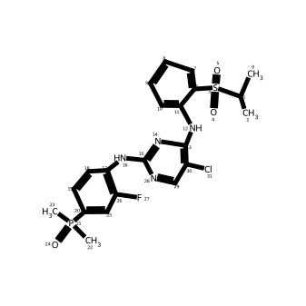 CC(C)S(=O)(=O)c1ccccc1Nc1nc(Nc2ccc(P(C)(C)=O)cc2F)ncc1Cl